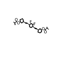 C=C(C)C(=O)Oc1cccc(C#Cc2ccc(C#Cc3cccc(OC(=O)C(=C)C)c3)c(F)c2F)c1